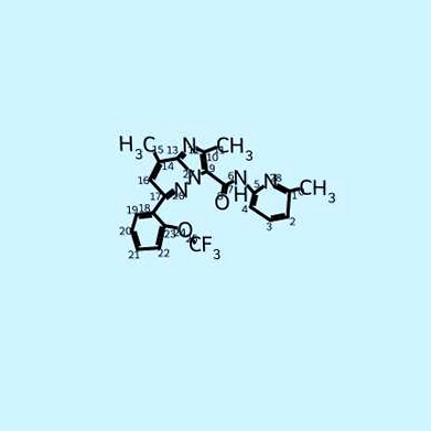 Cc1cccc(NC(=O)c2c(C)nc3c(C)cc(-c4ccccc4OC(F)(F)F)nn23)n1